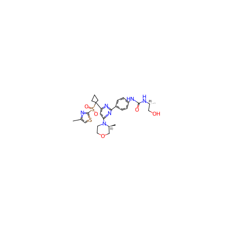 Cc1csc(S(=O)(=O)C2(c3cc(N4CCOC[C@@H]4C)nc(-c4ccc(NC(=O)N[C@H](C)CO)cc4)n3)CCC2)n1